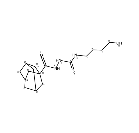 O=C(NNC(=S)NCCCCO)C12CC3CC(CC(C3)C1)C2